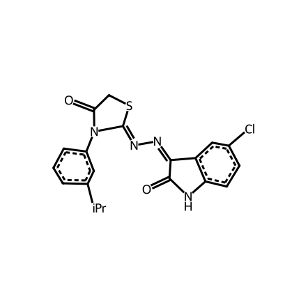 CC(C)c1cccc(N2C(=O)CSC2=NN=C2C(=O)Nc3ccc(Cl)cc32)c1